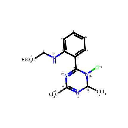 CCOC(=O)CNc1ccccc1C1=NC(C(Cl)(Cl)Cl)=NC(C(Cl)(Cl)Cl)N1Cl